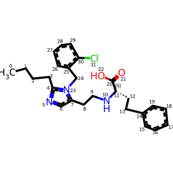 CCCCc1ncc(CCN[C@@H](CCc2ccccc2)C(=O)O)n1Cc1ccccc1Cl